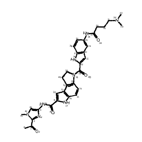 CC(=O)c1nc(NC(=O)c2cc3c4c(ccc3[nH]2)N(C(=O)c2cc3cc(NC(=O)CCCN(C)C)ccc3[nH]2)CC4)cn1C